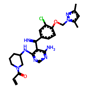 C=CC(=O)N1CCCC(Nc2ncnc(N)c2C(=N)c2ccc(OCn3nc(C)cc3C)c(Cl)c2)C1